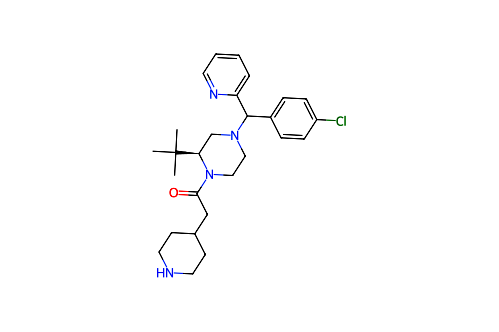 CC(C)(C)[C@H]1CN(C(c2ccc(Cl)cc2)c2ccccn2)CCN1C(=O)CC1CCNCC1